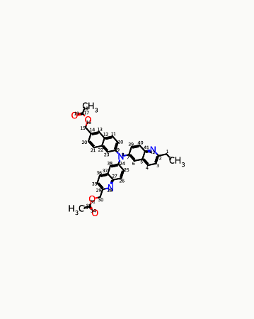 CCc1ccc2cc(N(c3ccc4cc(COC(C)=O)ccc4c3)c3ccc4nc(COC(C)=O)ccc4c3)ccc2n1